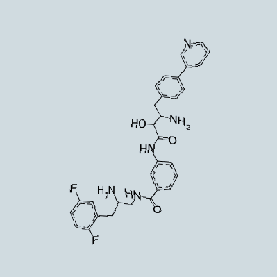 NC(CNC(=O)c1cccc(NC(=O)C(O)C(N)Cc2ccc(-c3cccnc3)cc2)c1)Cc1cc(F)ccc1F